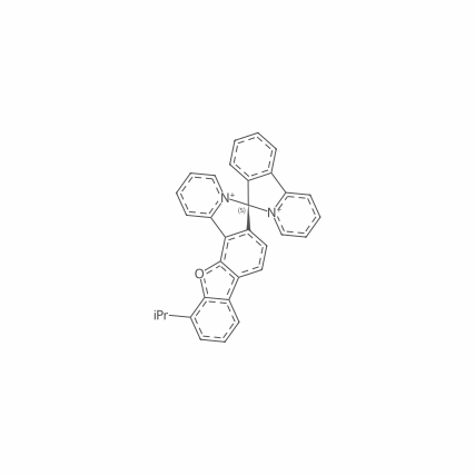 CC(C)c1cccc2c1oc1c3c(ccc12)[C@]1(c2ccccc2-c2cccc[n+]21)[n+]1ccccc1-3